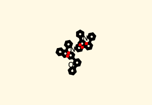 c1cc(-c2ccc(N(c3cccc(-c4cccc5c4oc4ccccc45)c3)c3ccccc3-c3cccc4ccccc34)cc2)cc(-c2ccccc2-n2c3ccccc3c3ccccc32)c1